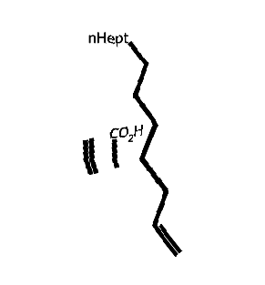 C=C.C=CCCCCCCCCCCCC.CC(=O)O